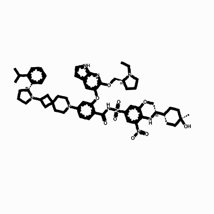 CCN1CCC[C@H]1COc1nc2[nH]ccc2cc1Oc1cc(N2CCC3(CC2)CC(N2CCC[C@@H]2c2ccccc2C(C)C)C3)ccc1C(=O)NS(=O)(=O)c1cc2c(c([N+](=O)[O-])c1)N[C@@H]([C@H]1CC[C@](C)(O)CC1)CO2